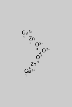 [Ga+3].[Ga+3].[O-2].[O-2].[O-2].[Zn].[Zn]